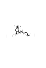 CCOC(=O)c1ccc([N+](=O)[O-])cc1N(C)C(=O)COc1ccc(OC)cc1